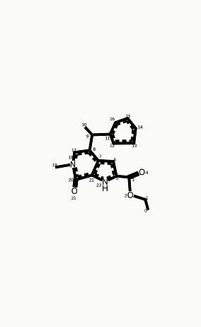 CCOC(=O)c1cc2c(C(C)c3ccccc3)cn(C)c(=O)c2[nH]1